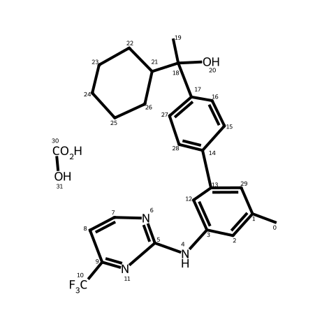 Cc1cc(Nc2nccc(C(F)(F)F)n2)cc(-c2ccc(C(C)(O)C3CCCCC3)cc2)c1.O=C(O)O